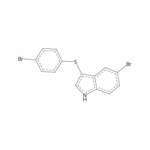 Brc1ccc(Sc2c[nH]c3ccc(Br)cc23)cc1